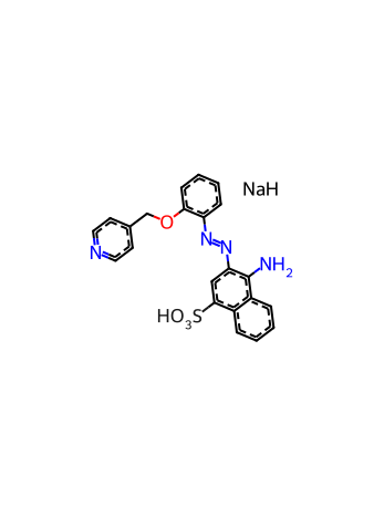 Nc1c(/N=N/c2ccccc2OCc2ccncc2)cc(S(=O)(=O)O)c2ccccc12.[NaH]